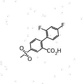 CS(=O)(=O)c1ccc(-c2ccc(F)cc2F)c(C(=O)O)c1